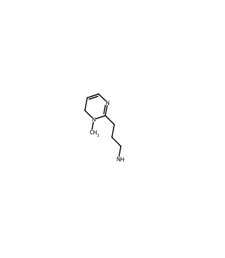 CN1CC=CN=C1CCC[NH]